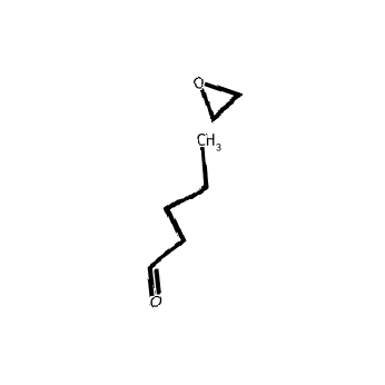 C1CO1.CCCCC=O